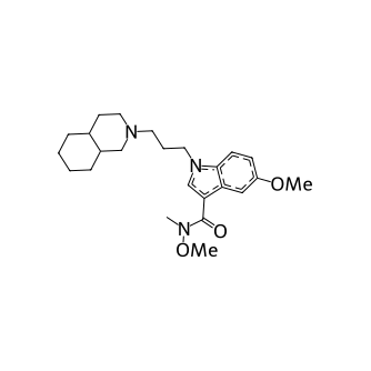 COc1ccc2c(c1)c(C(=O)N(C)OC)cn2CCCN1CCC2CCCCC2C1